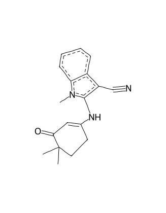 Cn1c(NC2=CC(=O)C(C)(C)CC2)c(C#N)c2ccccc21